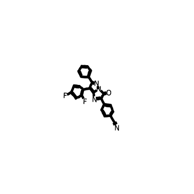 N#Cc1ccc(C2=Nc3c(-c4ccc(F)cc4F)c(-c4ccccc4)nn3C2=O)cc1